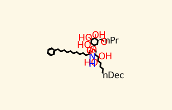 CCCCCCCCCCCCCC[C@@H](O)[C@@H](O)[C@H](CO[C@H]1C[C@H](COCCC)[C@H](O)[C@H](O)[C@H]1O)NC(=O)CCCCCCCCCCc1ccccc1